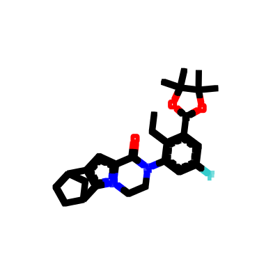 CCc1c(B2OC(C)(C)C(C)(C)O2)cc(F)cc1N1CCn2c(cc3c2C2CCC3C2)C1=O